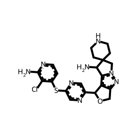 Nc1nccc(Sc2cnc(C3OCc4nn5c(c43)C(N)C3(CCNCC3)C5)cn2)c1Cl